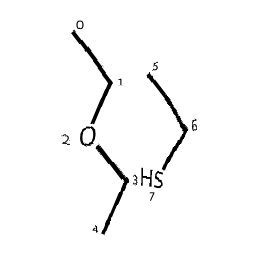 CCOCC.CCS